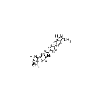 C=C(N)c1ccc(-c2ccc(-c3cn4cc(/C(N)=N/OC)ccc4n3)cc2)cc1